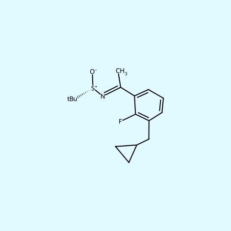 CC(=N[S@@+]([O-])C(C)(C)C)c1cccc(CC2CC2)c1F